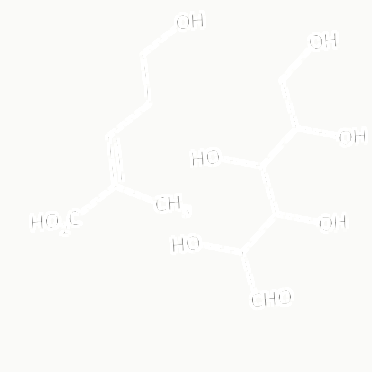 CC(=CCCO)C(=O)O.O=CC(O)C(O)C(O)C(O)CO